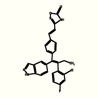 CC/C(=C(\c1ccc(C=Cc2noc(=O)[nH]2)cc1)c1ccc2[nH]ncc2c1)c1ccc(F)cc1Cl